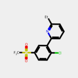 CCc1cccc(-c2cc(S(=O)(=O)C(F)(F)F)ccc2Cl)n1